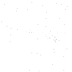 CCCCCCC(C#N)(CCCCCCCCCCC(=O)O)N=NC(C)(C)C